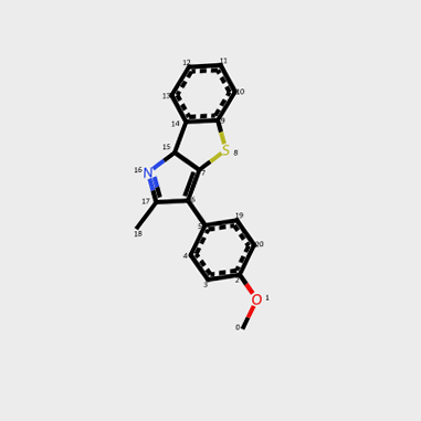 COc1ccc(C2=C3Sc4ccccc4C3N=C2C)cc1